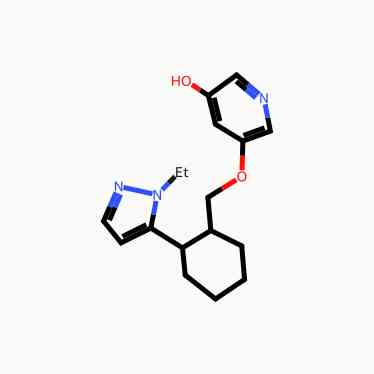 CCn1nccc1C1CCCCC1COc1cncc(O)c1